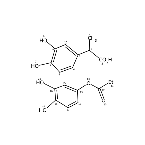 CC(C(=O)O)c1ccc(O)c(O)c1.CCC(=O)Oc1ccc(O)c(O)c1